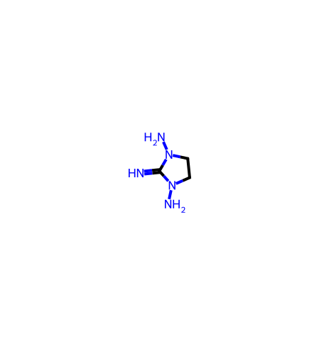 N=C1N(N)CCN1N